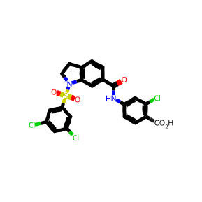 O=C(Nc1ccc(C(=O)O)c(Cl)c1)c1ccc2c(c1)N(S(=O)(=O)c1cc(Cl)cc(Cl)c1)CC2